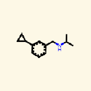 CC(C)NCc1cccc(C2CC2)c1